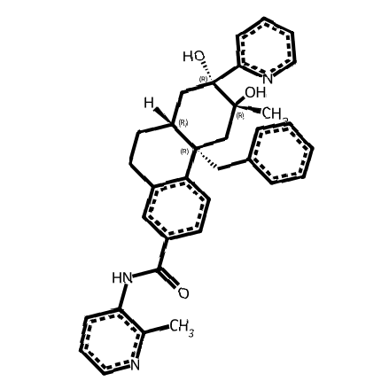 Cc1ncccc1NC(=O)c1ccc2c(c1)CC[C@@H]1C[C@@](O)(c3ccccn3)[C@](C)(O)C[C@@]21Cc1ccccc1